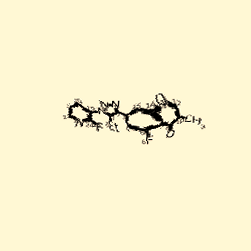 CCc1c(-c2cc(F)c3c(=O)c(C)coc3c2)nnn1-c1cccnc1F